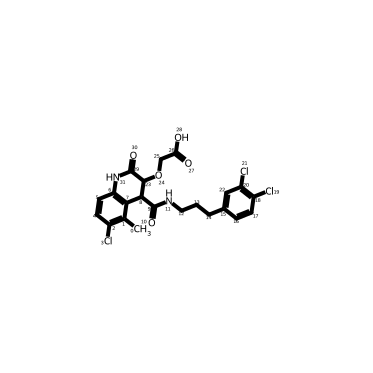 Cc1c(Cl)ccc2c1C(C(=O)NCCCc1ccc(Cl)c(Cl)c1)C(OCC(=O)O)C(=O)N2